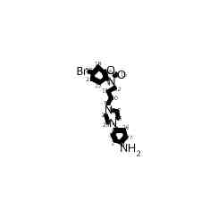 Nc1ccc(N2CCN(CCCCn3c(=O)oc4cc(Br)ccc43)CC2)cc1